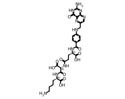 NCCCC[C@@H](NC(=O)[C@@H](NC(=O)CC[C@@H](NC(=O)c1ccc(NCc2cnc3nc(N)[nH]c(=O)c3n2)cc1)C(=O)O)C(=O)O)C(=O)O